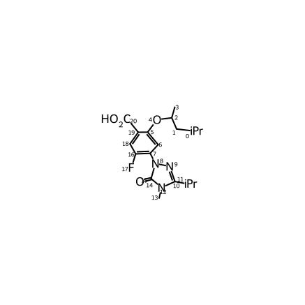 CC(C)CC(C)Oc1cc(-n2nc(C(C)C)n(C)c2=O)c(F)cc1C(=O)O